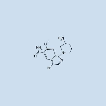 COc1cc2c(N3CCCC(N)C3)ncc(Br)c2cc1C(N)=O